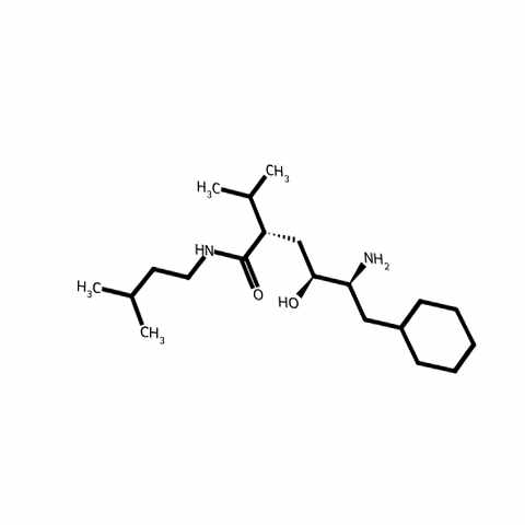 CC(C)CCNC(=O)[C@@H](C[C@H](O)[C@@H](N)CC1CCCCC1)C(C)C